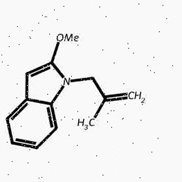 C=C(C)Cn1c(OC)cc2ccccc21